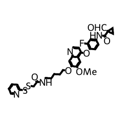 COc1cc2c(Oc3ccc(NC(=O)C4(C=O)CC4)cc3F)ccnc2cc1OCCCCCNC(=O)CSSc1ccccn1